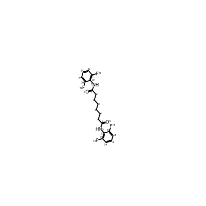 O=C(CCCCCCC(=O)Nc1c(F)cccc1F)Nc1c(F)cccc1F